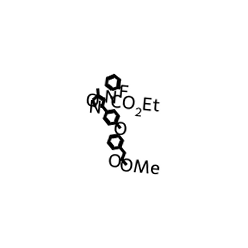 CCOC(=O)N(c1ccccc1F)c1c(-c2ccc(Oc3cccc(CC(=O)OC)c3)cc2)noc1C